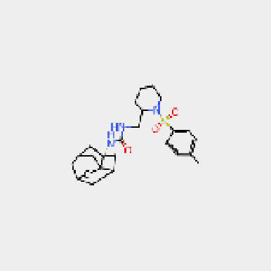 Cc1ccc(S(=O)(=O)N2CCCCC2CNC(=O)N[C@]23CC4CC5CC(C2)C3(C5)C4)cc1